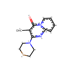 O=Cc1c(N2CCSCC2)nc2ccccn2c1=O